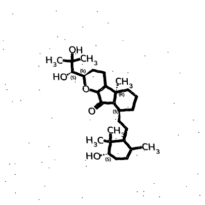 CC1CC[C@H](O)C(C)(C)C1CC[C@@H]1CCC[C@]2(C)C3CC[C@H]([C@H](O)C(C)(C)O)OC3C(=O)C12